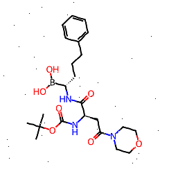 CC(C)(C)OC(=O)N[C@H](CC(=O)N1CCOCC1)C(=O)N[C@@H](CCCc1ccccc1)B(O)O